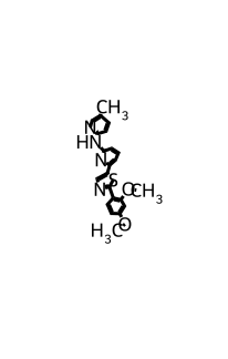 COc1ccc(-c2ncc(-c3cccc(Nc4ccc(C)cn4)n3)s2)c(OC)c1